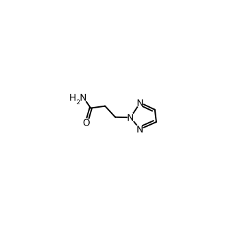 NC(=O)CCn1nccn1